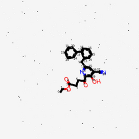 CCOC(=O)CCC(=O)c1nc(Cc2ccccc2-c2ccccc2)cc(C#N)c1O